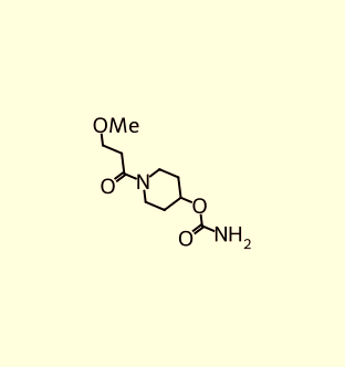 COCCC(=O)N1CCC(OC(N)=O)CC1